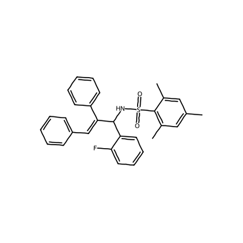 Cc1cc(C)c(S(=O)(=O)NC(C(=Cc2ccccc2)c2ccccc2)c2ccccc2F)c(C)c1